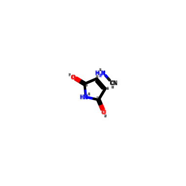 N#CN.O=C1C=CC(=O)N1